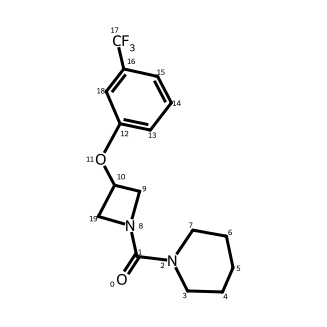 O=C(N1CCCCC1)N1CC(Oc2cccc(C(F)(F)F)c2)C1